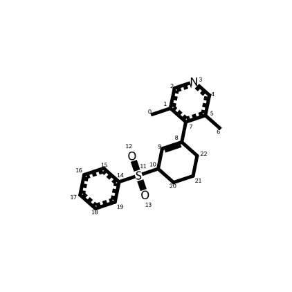 Cc1cncc(C)c1C1=CC(S(=O)(=O)c2ccccc2)CCC1